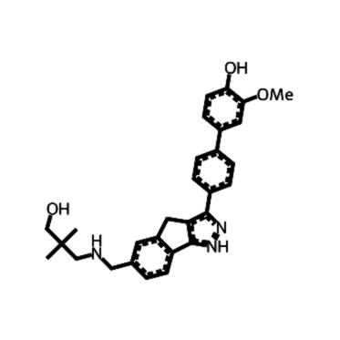 COc1cc(-c2ccc(-c3n[nH]c4c3Cc3cc(CNCC(C)(C)CO)ccc3-4)cc2)ccc1O